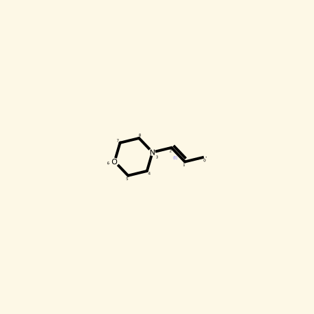 [CH2]/C=C/N1CCOCC1